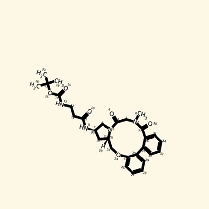 CN1CC(=O)N2C[C@H](NC(=O)CCNC(=O)OC(C)(C)C)C[C@H]2COc2ccccc2-c2ccccc2C1=O